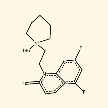 CC(C)(C)[N+]1(CCn2c(=O)ccc3c(F)cc(F)cc32)CC[CH]CC1